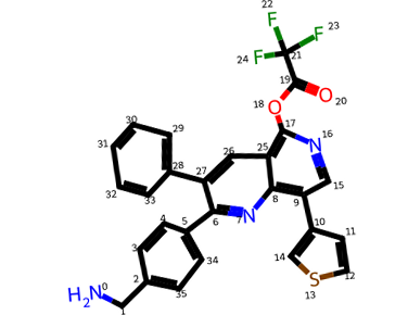 NCc1ccc(-c2nc3c(-c4ccsc4)cnc(OC(=O)C(F)(F)F)c3cc2-c2ccccc2)cc1